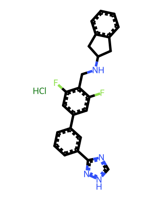 Cl.Fc1cc(-c2cccc(-c3nc[nH]n3)c2)cc(F)c1CNC1Cc2ccccc2C1